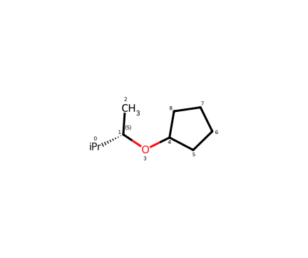 CC(C)[C@H](C)OC1CCCC1